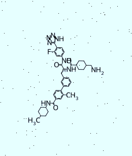 Cc1cc(C(=O)NC2CCC(C)CC2)ccc1-c1cccc(C[C@H](NC(=O)C2CCC(CN)CC2)C(=O)Nc2ccc(-c3nnn[nH]3)c(F)c2)c1